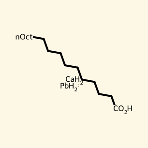 CCCCCCCCCCCCCCCCCC(=O)O.[CaH2].[PbH2]